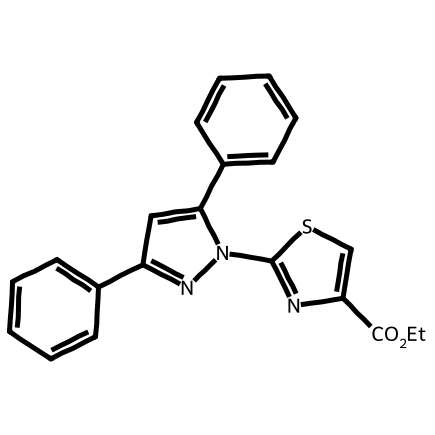 CCOC(=O)c1csc(-n2nc(-c3ccccc3)cc2-c2ccccc2)n1